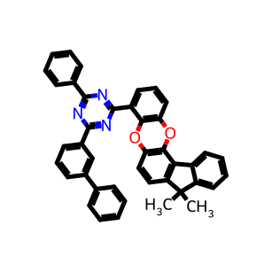 CC1(C)c2ccccc2-c2c1ccc1c2Oc2cccc(-c3nc(-c4ccccc4)nc(-c4cccc(-c5ccccc5)c4)n3)c2O1